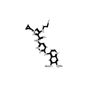 COc1cc2nccc(Oc3ccc(NC(=O)c4nn(C5CC5)cc4OCCF)nn3)c2cc1OC